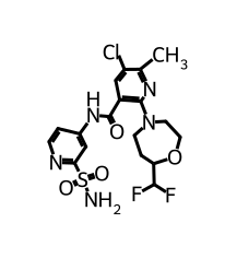 Cc1nc(N2CCOC(C(F)F)CC2)c(C(=O)Nc2ccnc(S(N)(=O)=O)c2)cc1Cl